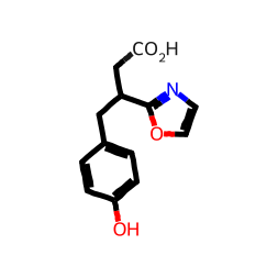 O=C(O)CC(Cc1ccc(O)cc1)c1ncco1